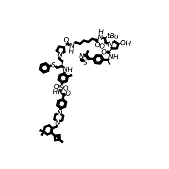 Cc1cc(S(=O)(=O)NC(=O)c2ccc(N3CCN(CC4=C(C56CC(C)(C5)C6)CC(C)(C)CC4)CC3)cc2)ccc1N[C@H](CCN1CC[C@H](C(=O)NCCCCCC(=O)N[C@H](C(=O)N2C[C@H](O)C[C@H]2C(=O)N[C@@H](C)c2ccc(-c3scnc3C)cc2)C(C)(C)C)C1)CSc1ccccc1